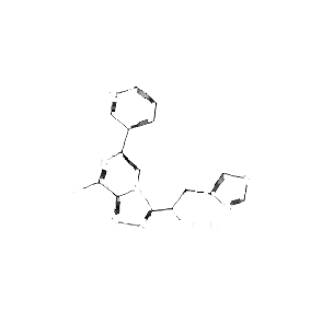 CCC(C)c1nc(-c2cccnc2)cn2c(C(Cc3c[nH]cn3)C(=O)O)nnc12